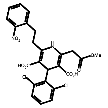 COC(=O)CC1=C(C(=O)O)C(c2c(Cl)cccc2Cl)C(C(=O)O)=C(CCc2ccccc2[N+](=O)[O-])N1